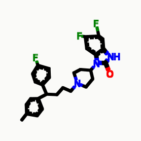 Cc1ccc(C(CCCN2CCC(n3c(=O)[nH]c4cc(F)c(F)cc43)CC2)c2ccc(F)cc2)cc1